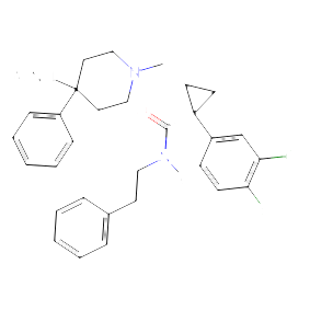 CC(=O)NC1(c2ccccc2)CCN(C[C@@H]2C[C@@]2(C(=O)N(C)CCc2ccccc2)c2ccc(Cl)c(Cl)c2)CC1